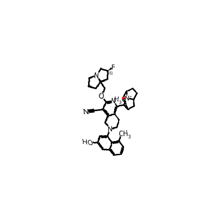 Cc1cccc2cc(O)cc(N3CCc4c(C5C6CC7CCC(C6)[N+]75C)nc(OCC56CCCN5C[C@@H](F)C6)c(C#N)c4C3)c12